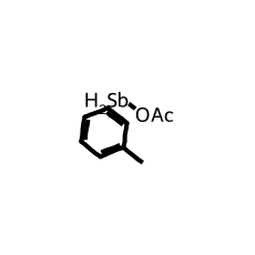 CC(=O)[O][SbH2].Cc1ccccc1